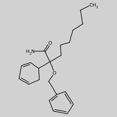 CCCCCCCC(OCc1ccccc1)(C(N)=O)C1C=CC=CC1